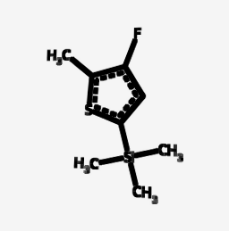 Cc1sc([Si](C)(C)C)cc1F